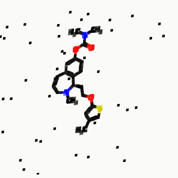 Cc1csc(OCC[C@@H]2c3ccc(OC(=O)N(C)C)cc3C=CCN2C)c1